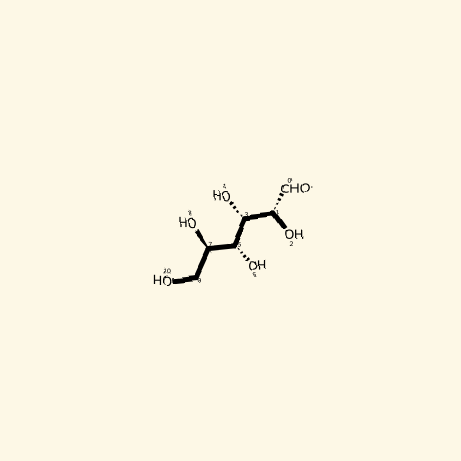 O=[C][C@H](O)[C@@H](O)[C@H](O)[C@H](O)CO